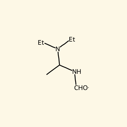 CCN(CC)C(C)N[C]=O